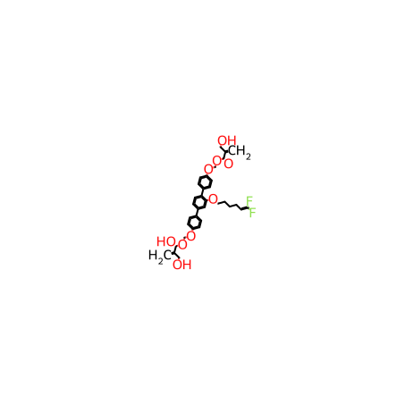 C=C(CO)C(=O)OCOc1ccc(-c2ccc(-c3ccc(OCOC(O)C(=C)CO)cc3)cc2OCCCCC=C(F)F)cc1